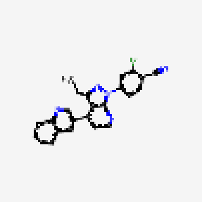 CCc1nn(-c2ccc(C#N)c(Br)c2)c2nccc(-c3cnc4ccccc4c3)c12